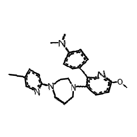 COc1ccc(N2CCCN(c3ccc(C)cn3)CC2)c(-c2ccc(N(C)C)cc2)n1